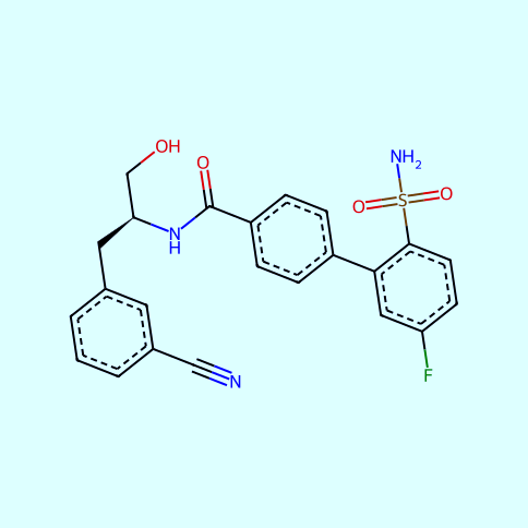 N#Cc1cccc(C[C@@H](CO)NC(=O)c2ccc(-c3cc(F)ccc3S(N)(=O)=O)cc2)c1